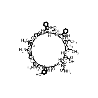 CCCC[C@H]1C(=O)N(C)[C@@H](CCCC)C(=O)N[C@@H](CCC(=O)O)C(=O)NC(C(=O)NCC(N)=O)CSCC(=O)N[C@@H](Cc2ccc(O)cc2)C(=O)N(C)[C@@H](C)C(=O)N[C@@H](CC(N)=O)C(=O)N2CCC[C@H]2C(=O)N[C@@H](CC(N)=O)C(=O)N[C@@H](CC(C)C)C(=O)N2CCC[C@H]2C(=O)N[C@@H](Cc2c[nH]c3ccccc23)C(=O)N[C@@H](CC(=O)O)C(=O)N[C@@H](Cc2c[nH]c3ccccc23)C(=O)N1C